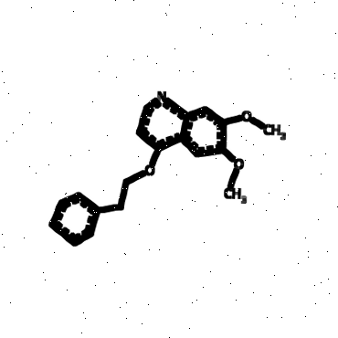 COc1cc2nccc(OCCc3ccccc3)c2cc1OC